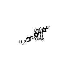 COc1cc2c(Nc3ccc(Br)cc3C)ncnc2cc1OCC1CCN(C)CC1